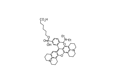 CCN(CC)C(=O)c1ccc(P(=O)(O)OCCCCCC(=O)O)cc1C1=c2cc3c4c(c2Oc2c1cc1c5c2CCCN5CCC1)CCC[N+]=4CCC3